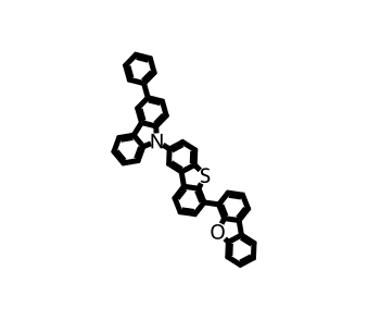 c1ccc(-c2ccc3c(c2)c2ccccc2n3-c2ccc3sc4c(-c5cccc6c5oc5ccccc56)cccc4c3c2)cc1